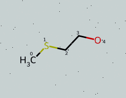 CS[CH]C[O]